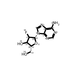 Nc1ncnc2c1ncn2[C@@H]1O[C@H](CO)C(O)C1F